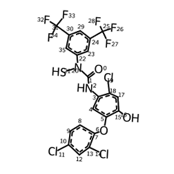 O=C(Nc1cc(Oc2ccc(Cl)cc2Cl)c(O)cc1Cl)N(S)c1cc(C(F)(F)F)cc(C(F)(F)F)c1